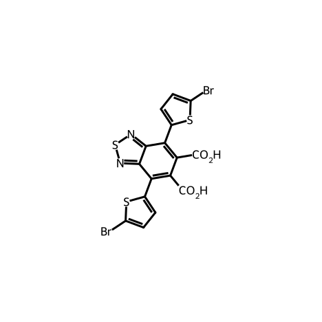 O=C(O)c1c(C(=O)O)c(-c2ccc(Br)s2)c2nsnc2c1-c1ccc(Br)s1